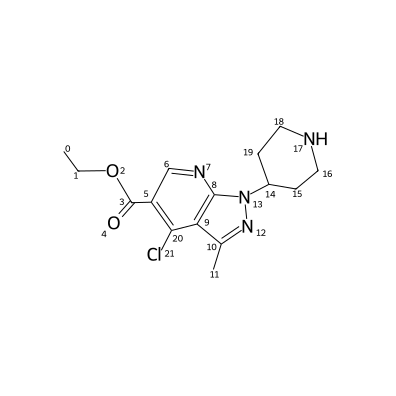 CCOC(=O)c1cnc2c(c(C)nn2C2CCNCC2)c1Cl